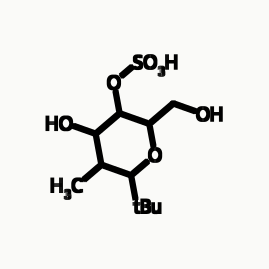 CC1C(O)C(OS(=O)(=O)O)C(CO)OC1C(C)(C)C